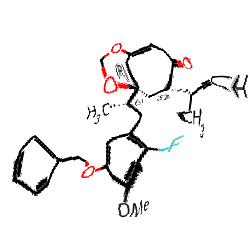 C#CC(C)[C@@H]1C[C@]2([C@@H](C)Cc3cc(OCc4ccccc4)c(OC)cc3F)OCOC2=CC1=O